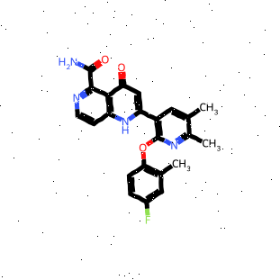 Cc1cc(F)ccc1Oc1nc(C)c(C)cc1-c1cc(=O)c2c(C(N)=O)nccc2[nH]1